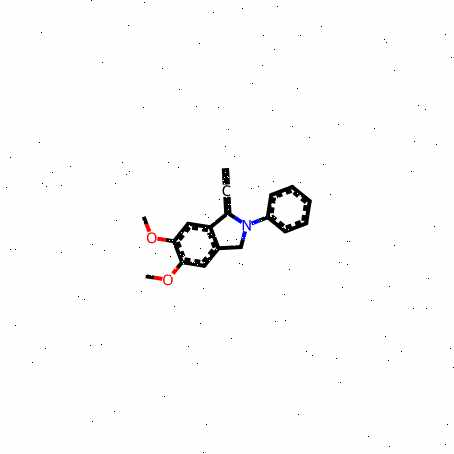 C=C=C1c2cc(OC)c(OC)cc2CN1c1ccccc1